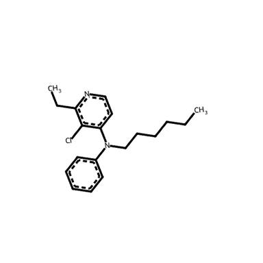 CCCCCCN(c1ccccc1)c1ccnc(CC)c1Cl